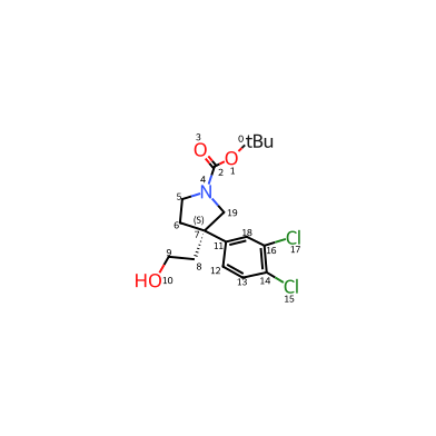 CC(C)(C)OC(=O)N1CC[C@](CCO)(c2ccc(Cl)c(Cl)c2)C1